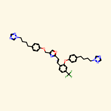 FC(F)(F)c1ccc(/C=C/c2nc(COc3ccc(CCCCn4cncn4)cc3)co2)c(Oc2ccc(CCCCn3cncn3)cc2)c1